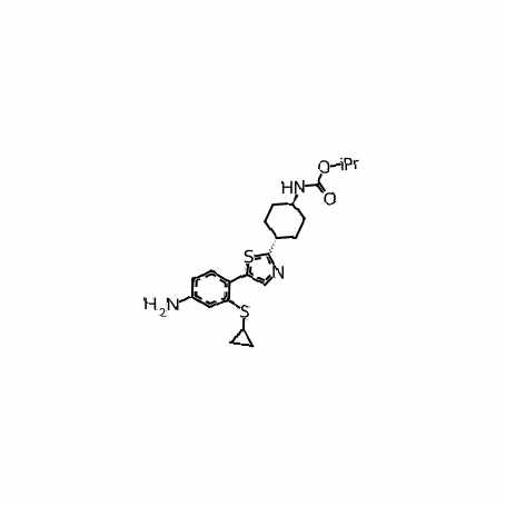 CC(C)OC(=O)N[C@H]1CC[C@H](c2ncc(-c3ccc(N)cc3SC3CC3)s2)CC1